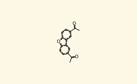 CC(=O)c1ccc2oc3ccc(C(C)=O)cc3c2c1